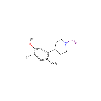 Cc1cc([N+](=O)[O-])c(OC(C)C)cc1C1CCN(P)CC1